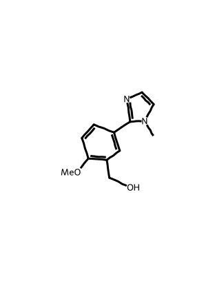 COc1ccc(-c2nccn2C)cc1CO